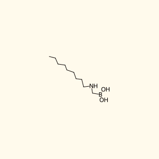 CCCCCCCCCNCB(O)O